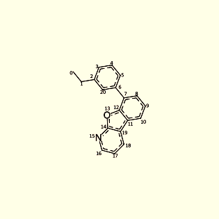 CCc1cccc(-c2cccc3c2oc2ncccc23)c1